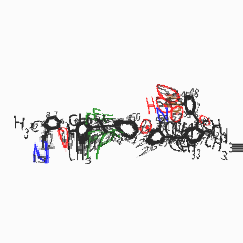 CCC(C)(Oc1cccc(C)c1C#N)c1ccc(C(c2ccc(Oc3cccc(C(C)(C)C(C)(C)c4ccc(C(C)(C)C)c(C(=O)c5cccc(S(=O)(=O)O)c5)c4)c3C#N)cc2)(C(F)(F)F)C(F)(F)F)cc1